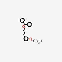 O=C(O)COc1cccc(CCCCOC(c2ccccc2)c2ccccc2)c1